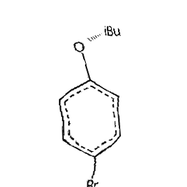 CC[C@@H](C)Oc1ccc(Br)cc1